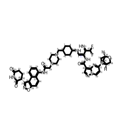 N=C(/C(=C\NC1CCC(CN2CCN(CC(=O)Nc3cccc4c3ccc3onc([C@H]5CCC(=O)NC5=O)c34)CC2)CC1)NC(=O)c1cnn2ccc(N3C[C@H]4C[C@@H]3CO4)nc12)C(F)F